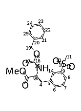 COC(=O)[C@H](Cc1cccc(S(C)(=O)=O)c1)NC(=O)OCc1ccccc1